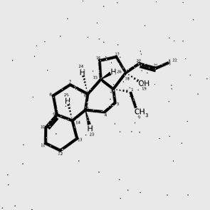 CC[C@]12CC[C@H]3[C@@H](CCC4=CCCC[C@@H]43)[C@@H]1CC[C@@]2(O)/C=C/I